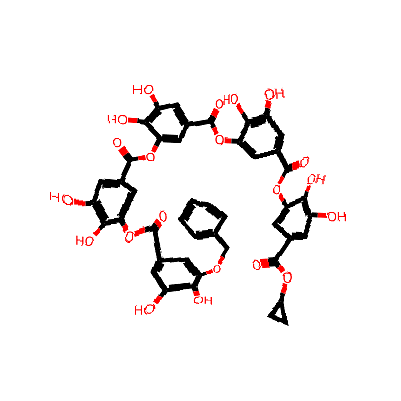 O=C(Oc1cc(C(=O)Oc2cc(C(=O)Oc3cc(C(=O)Oc4cc(C(=O)OC5CC5)cc(O)c4O)cc(O)c3O)cc(O)c2O)cc(O)c1O)c1cc(O)c(O)c(OCc2ccccc2)c1